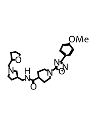 COc1ccc(-c2noc(N3CCC(C(=O)NCC4CCN(CC5CCCO5)C4)CC3)n2)cc1